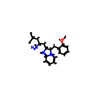 COc1ccccc1CC1C(CC(N)CC(C)C)N=C2C=CC=CN21